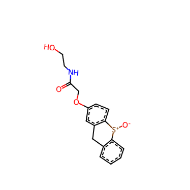 O=C(COc1ccc2c(c1)Cc1ccccc1[S+]2[O-])NCCO